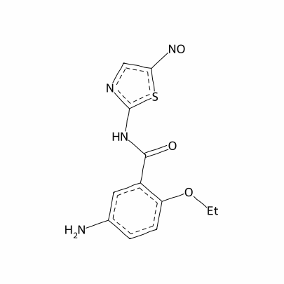 CCOc1ccc(N)cc1C(=O)Nc1ncc(N=O)s1